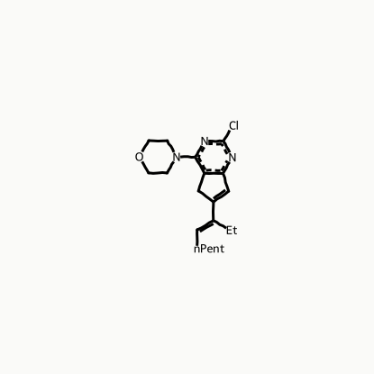 CCCCC/C=C(\CC)C1=Cc2nc(Cl)nc(N3CCOCC3)c2C1